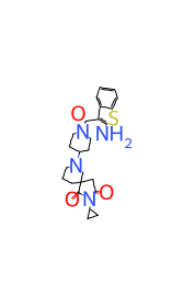 Nc1sc2ccccc2c1C(=O)N1CCC(N2CCCC3(CC(=O)N(C4CC4)C3=O)C2)CC1